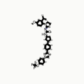 COc1ccc(N2CCS/C2=N\C(=O)NC2CCC(c3ccc(-c4ncn(-c5ccc(OC(F)(F)F)cc5)n4)cc3)C2)c(C(C)C)c1